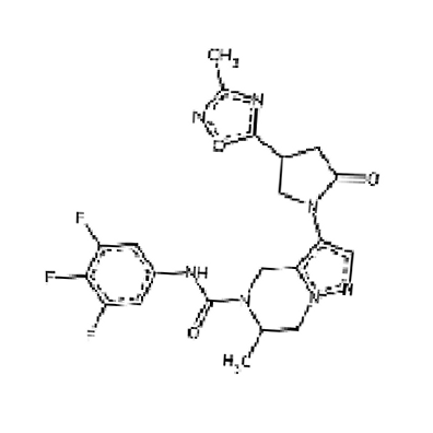 Cc1noc(C2CC(=O)N(c3cnn4c3CN(C(=O)Nc3cc(F)c(F)c(F)c3)C(C)C4)C2)n1